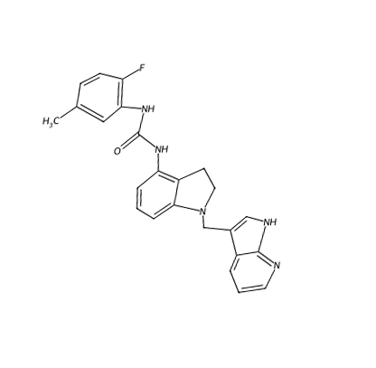 Cc1ccc(F)c(NC(=O)Nc2cccc3c2CCN3Cc2c[nH]c3ncccc23)c1